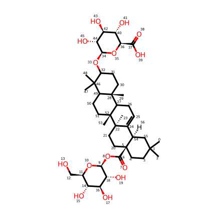 CC1(C)CC[C@]2(C(=O)O[C@@H]3O[C@H](CO)[C@@H](O)[C@H](O)[C@H]3O)CC[C@]3(C)C(=CCC4[C@@]5(C)CCC(O[C@@H]6O[C@H](C(=O)O)[C@@H](O)[C@H](O)[C@H]6O)C(C)(C)C5CC[C@]43C)[C@H]2C1